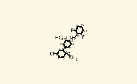 COc1ccc(Cl)cc1-c1ccc(NCc2c(F)cccc2F)cc1.Cl